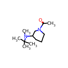 CC(=O)N1CCCC(N(C)C(C)(C)C)C1